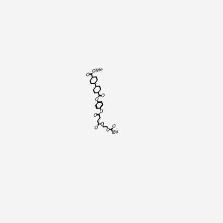 CCC(C)C(=O)OCCOC(=O)CCC(=O)Oc1ccc(OC(=O)C2CCC(C3CCC(C(=O)OC)CC3)CC2)cc1